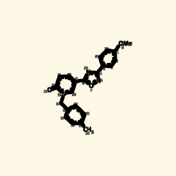 COc1ccc(-c2noc(-c3ccc(=O)n(Cc4ccc(C)cc4)c3)n2)cc1